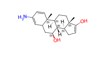 C[C@]12C=CC(N)=CC1C[C@H](O)[C@@H]1[C@@H]2CC[C@]2(C)C(O)=CC[C@@H]12